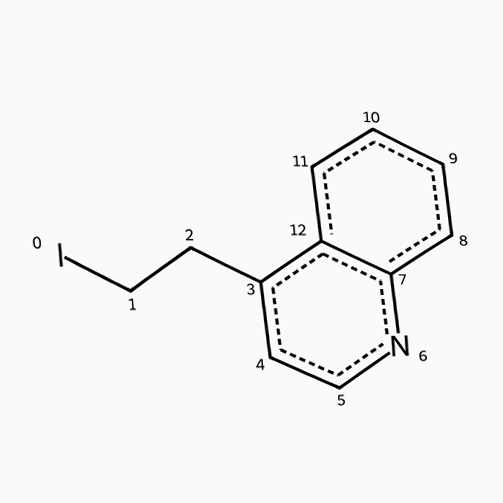 ICCc1ccnc2ccccc12